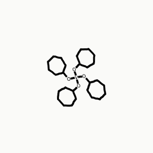 C1CCCC([O][V]([O]C2CCCCCC2)([O]C2CCCCCC2)[O]C2CCCCCC2)CC1